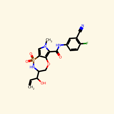 C=CC(O)C1COc2c(cn(C)c2C(=O)Nc2ccc(F)c(C#N)c2)S(=O)(=O)N1